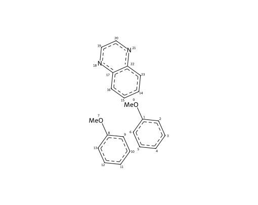 COc1ccccc1.COc1ccccc1.c1ccc2nccnc2c1